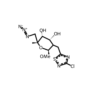 CO[C@H]1O[C@](C)(CN=[N+]=[N-])[C@H](O)[C@H](O)C1Cc1nc(Cl)ns1